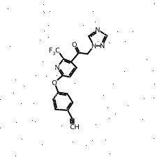 C#Cc1ccc(Oc2ccc(C(=O)Cn3cncn3)c(C(F)(F)F)n2)cc1